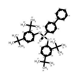 CC(C)(C)c1ccc(OP(=O)(Oc2ccc(C(C)(C)C)cc2C(C)(C)C)c2ccc(-c3ccccc3)cc2)c(C(C)(C)C)c1